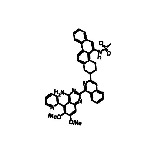 COc1cc2nc(-c3nc(C4CCc5c(ccc6c5c(NS(C)(=O)=O)cc5ccccc56)C4)cc4ccccc34)nc(N)c2c(-c2ccccn2)c1OC